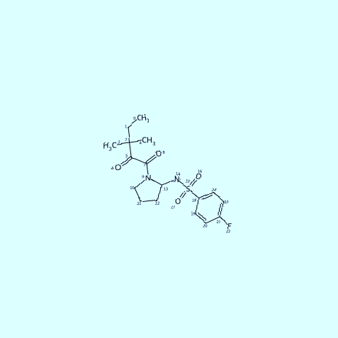 CCC(C)(C)C(=O)C(=O)N1CCCC1[N]S(=O)(=O)c1ccc(F)cc1